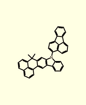 CC1(C)c2cc3c(cc2-c2cccc4cccc1c24)c1ccccc1n3-c1ccc2c3c(cccc13)-c1ccccc1-2